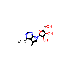 COc1ncnc2c1c(C)cn2[C@@H]1O[C@H](CO)[C@@H](O)[C@H]1O